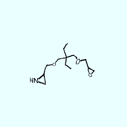 CCC(CC)(COCC1CN1)COCC1CO1